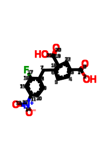 O=C(O)c1ccc(Cc2ccc([N+](=O)[O-])cc2F)c(C(=O)O)c1